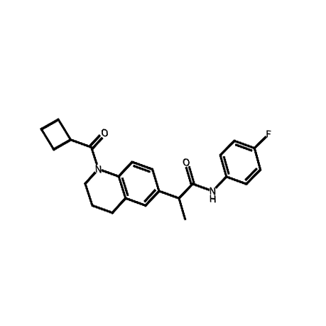 CC(C(=O)Nc1ccc(F)cc1)c1ccc2c(c1)CCCN2C(=O)C1CCC1